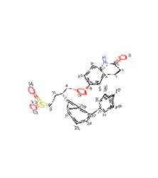 O=C1CCc2cc(OCCCC=S(=O)=O)ccc2N1.c1ccc(-c2ccc3cc2-3)cc1